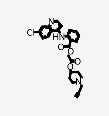 C#CCN1CCC(OC(=O)COC(=O)c2ccccc2Nc2ccnc3cc(Cl)ccc23)CC1